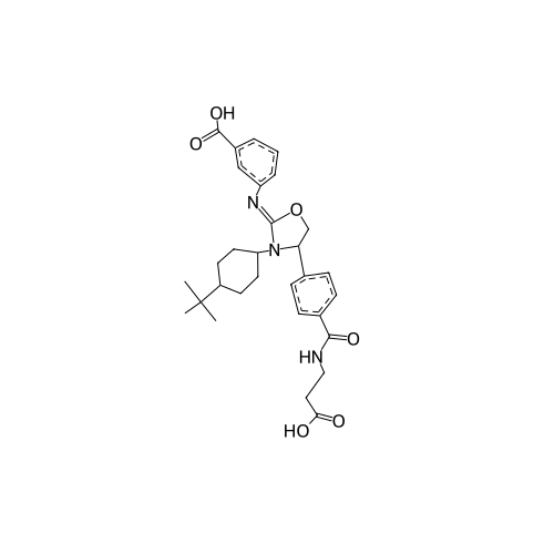 CC(C)(C)C1CCC(N2C(=Nc3cccc(C(=O)O)c3)OCC2c2ccc(C(=O)NCCC(=O)O)cc2)CC1